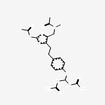 CC(=O)Nc1nc(CCc2ccc(NC(NC(=O)O)NC(=O)O)cc2)c(CN(C)C(C)=O)s1